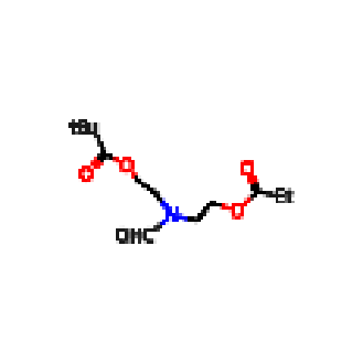 CCC(=O)OCCN(C=O)CCOC(=O)C(C)(C)C